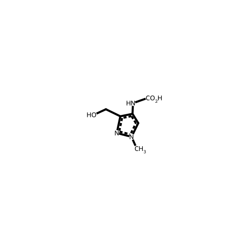 Cn1cc(NC(=O)O)c(CO)n1